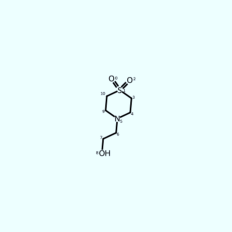 O=S1(=O)CCN(CCO)CC1